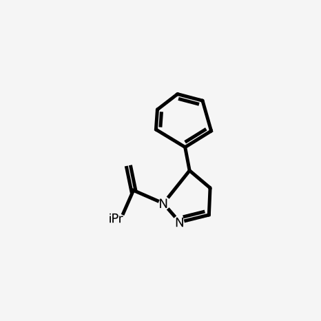 C=C(C(C)C)N1N=CCC1c1ccccc1